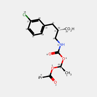 CC(C)C(=O)O[C@H](C)OC(=O)NC[C@H](Cc1cccc(Cl)c1)C(=O)O